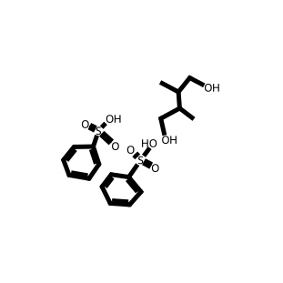 CC(CO)C(C)CO.O=S(=O)(O)c1ccccc1.O=S(=O)(O)c1ccccc1